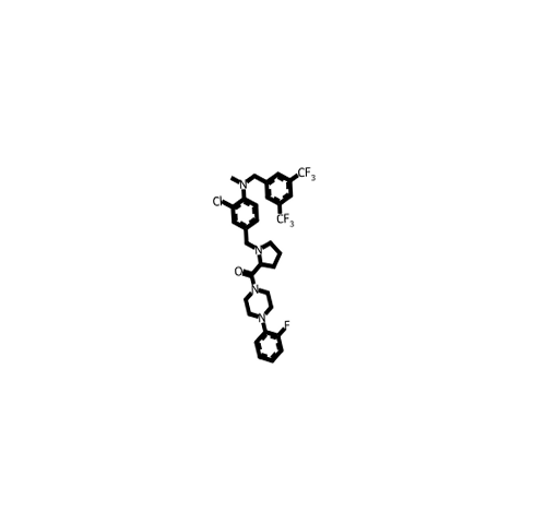 CN(Cc1cc(C(F)(F)F)cc(C(F)(F)F)c1)c1ccc(CN2CCCC2C(=O)N2CCN(c3ccccc3F)CC2)cc1Cl